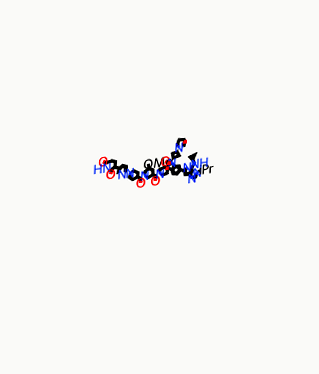 COC1CC(C(=O)N2CCC3(CC2)C(=O)N([C@H]2C[C@@H](N4CCCCC4)C2)c2cc(-c4cc5ncn(C(C)C)c5c(NC5CC5)n4)ccc23)CN(C(=O)C2CCN(c3ccc(C4CCC(=O)NC4=O)cn3)CC2)C1